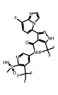 CS(=N)(=O)c1ncc(NC(=O)c2c(-c3ccc(F)c4nccn34)n[nH]c2C(F)(F)F)cc1C(F)(F)F